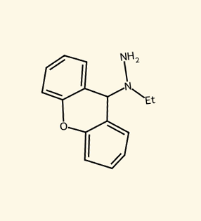 CCN(N)C1c2ccccc2Oc2ccccc21